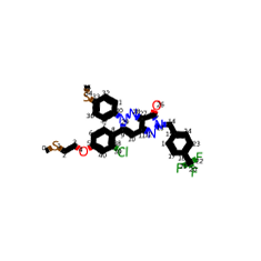 CSCCOc1ccc(-c2cc3nn(Cc4ccc(C(F)(F)F)cc4)c(=O)c-3nn2-c2ccc(SC)cc2)c(Cl)c1